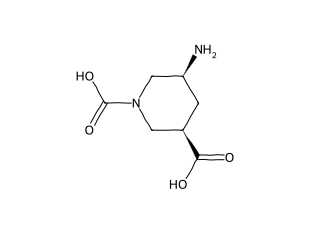 N[C@H]1C[C@@H](C(=O)O)CN(C(=O)O)C1